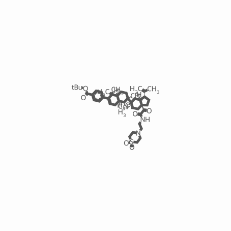 C=C(C)[C@@H]1CC[C@]2(C(=O)C(=O)NCCN3CCS(=O)(=O)CC3)CC[C@@](C)([C@]3(C)CC[C@H]4C(C)(C)C(c5ccc(C(=O)OC(C)(C)C)cc5)=CC[C@]4(C)[C@H]3CCC)C[C@@H]12